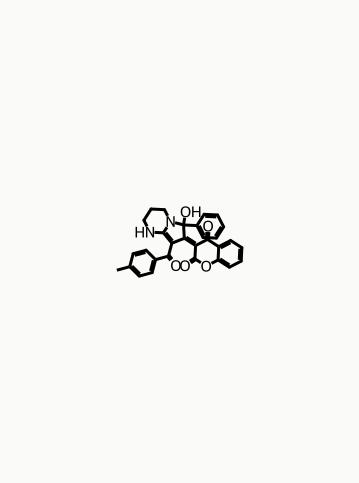 Cc1ccc(C(=O)C2=C3NCCCN3C(O)(c3ccccc3)/C2=C2/C(=O)Oc3ccccc3C2=O)cc1